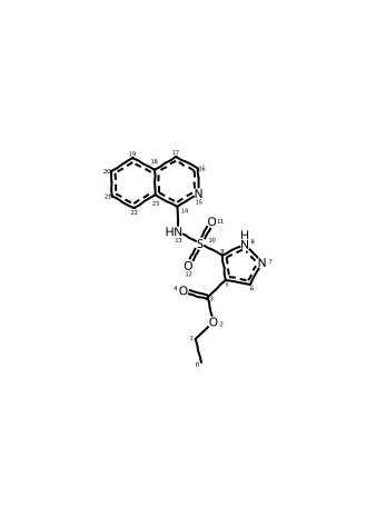 CCOC(=O)c1cn[nH]c1S(=O)(=O)Nc1nccc2ccccc12